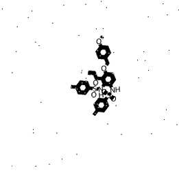 C=CCc1c(OCc2ccc(OC)cc2)ccc(NS(=O)(=O)c2ccc(C)cc2)c1NS(=O)(=O)c1ccc(C)cc1